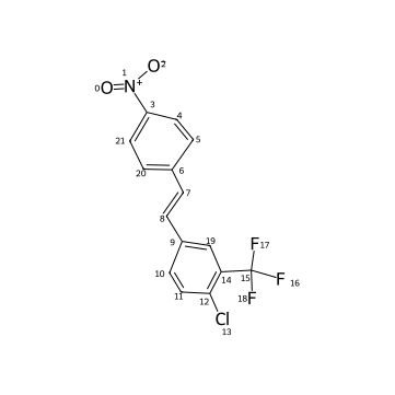 O=[N+]([O-])c1ccc(C=Cc2ccc(Cl)c(C(F)(F)F)c2)cc1